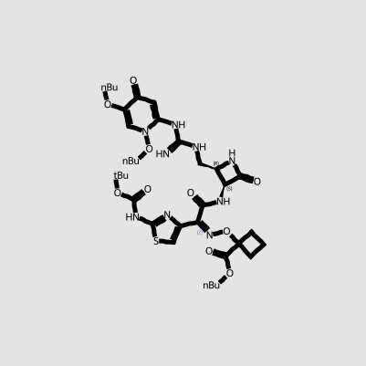 CCCCOC(=O)C1(O/N=C(\C(=O)N[C@@H]2C(=O)N[C@@H]2CNC(=N)Nc2cc(=O)c(OCCCC)cn2OCCCC)c2csc(NC(=O)OC(C)(C)C)n2)CCC1